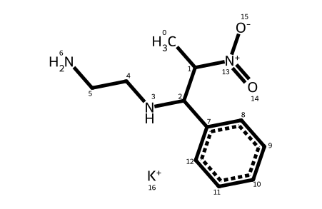 CC(C(NCCN)c1ccccc1)[N+](=O)[O-].[K+]